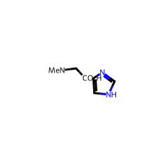 CNCC(=O)O.c1c[nH]cn1